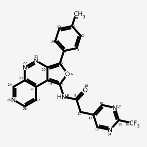 Cc1ccc(-c2oc(NC(=O)Cc3cnc(C(F)(F)F)nc3)c3c2nnc2cnccc23)cc1